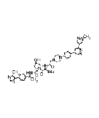 Cc1ncsc1-c1ccc([C@H](C)NC(=O)[C@@H]2C[C@@H](O)CN2C(=O)[C@@H](NC(=O)CN2CCN(c3ccc(-c4cnnc(-c5cnn(C)c5)c4)cc3)CC2)C(C)(C)C)cc1